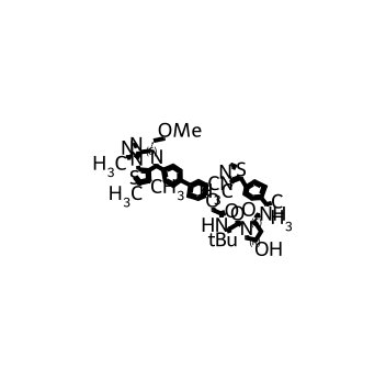 COCC[C@@H]1N=C(c2ccc(-c3ccc(OCC(=O)NC(C(=O)N4C[C@H](O)C[C@H]4C(=O)NC(C)c4ccc(-c5scnc5C)cc4)C(C)(C)C)c(C#N)c3)cc2)c2c(sc(C)c2C)-n2c(C)nnc21